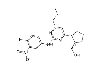 CCCc1cc(N2CCC[C@H]2CO)nc(Nc2ccc(F)c([N+](=O)[O-])c2)n1